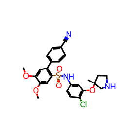 COc1cc(-c2ccc(C#N)cc2)c(S(=O)(=O)Nc2ccc(Cl)c(O[C@]3(C)CCNC3)c2)cc1OC